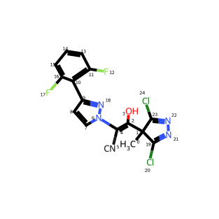 CC1(C(O)=C(C#N)n2ccc(-c3c(F)cccc3F)n2)C(Cl)=NN=C1Cl